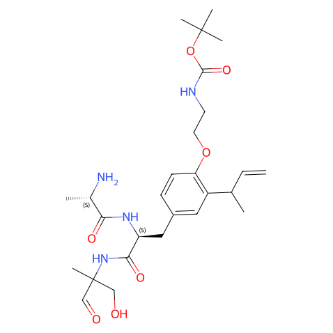 C=CC(C)c1cc(C[C@H](NC(=O)[C@H](C)N)C(=O)NC(C)(C=O)CO)ccc1OCCNC(=O)OC(C)(C)C